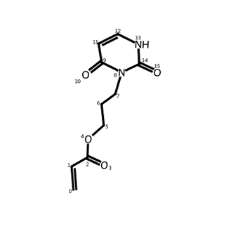 C=CC(=O)OCCCn1c(=O)cc[nH]c1=O